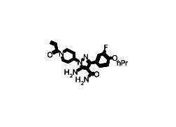 C=CC(=O)N1CCC(n2nc(-c3ccc(OCCC)c(F)c3)c(C(N)=O)c2N)CC1